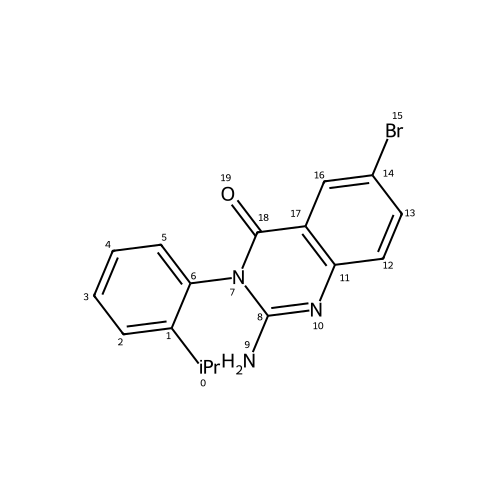 CC(C)c1ccccc1-n1c(N)nc2ccc(Br)cc2c1=O